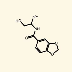 CCCC(CO)NC(=O)c1ccc2c(c1)OCO2